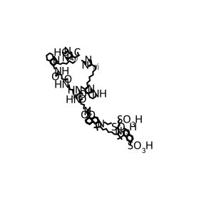 Cc1ncc([C@@H](CCCCCCc2nc3c(cc2CNC(=O)CCC(=O)NCCCC[C@H](NC(=O)CCCN(C)S(=O)(=O)c2cccc4c5c(ccc24)N(CCCS(=O)(=O)O)C(CCCCCC2=[N+](CCCS(=O)(=O)O)c4ccc6ccc(S(=O)(=O)O)cc6c4C2(C)C)C5(C)C)C(=O)NCc2cc4c(nc2CCCCCC[C@@H](C)c2cnc(C)nc2)NCCC4)CCCC3)CC(=O)O)cn1